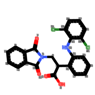 O=C(O)C(CN1C(=O)c2ccccc2C1=O)c1ccccc1Nc1c(Cl)cccc1Cl